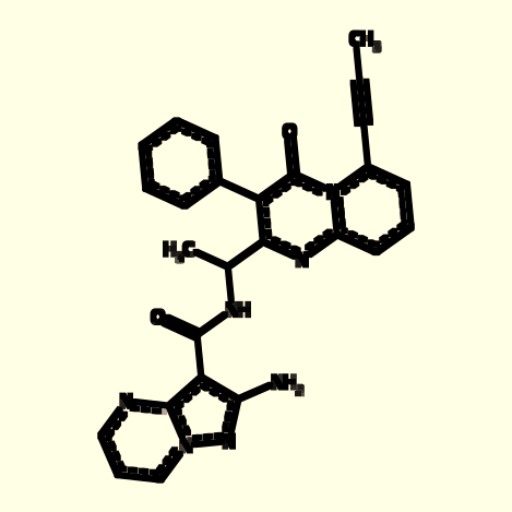 CC#Cc1cccc2nc(C(C)NC(=O)c3c(N)nn4cccnc34)c(-c3ccccc3)c(=O)n12